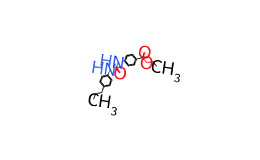 CCCc1ccc(NC(=O)Nc2ccc(C(=O)OCC)cc2)cc1